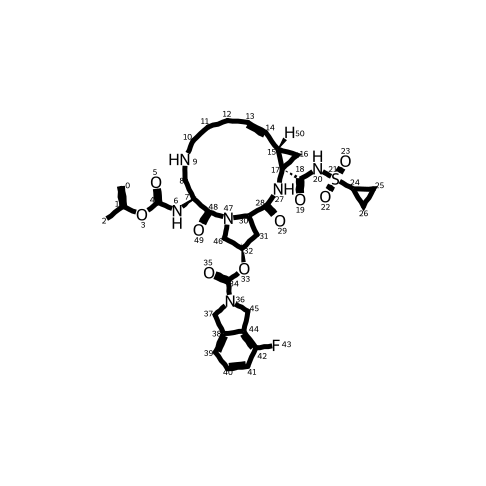 C=C(C)OC(=O)N[C@H]1CNCCC/C=C\[C@@H]2C[C@@]2(C(=O)NS(=O)(=O)C2CC2)NC(=O)C2C[C@@H](OC(=O)N3Cc4cccc(F)c4C3)CN2C1=O